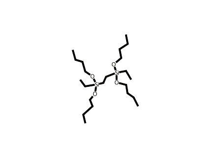 CCCCO[Si](CC)(CC[Si](CC)(OCCCC)OCCCC)OCCCC